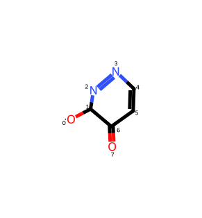 [O]C1N=NC=CC1=O